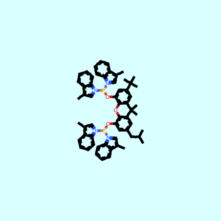 Cc1cn(P(Oc2cc(CC(C)C)cc3c2Oc2c(OP(n4cc(C)c5ccccc54)n4cc(C)c5ccccc54)cc(C(C)(C)C)cc2C3(C)C)n2cc(C)c3ccccc32)c2ccccc12